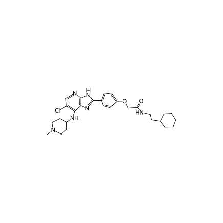 CN1CCC(Nc2c(Cl)cnc3[nH]c(-c4ccc(OCC(=O)NCCC5CCCCC5)cc4)nc23)CC1